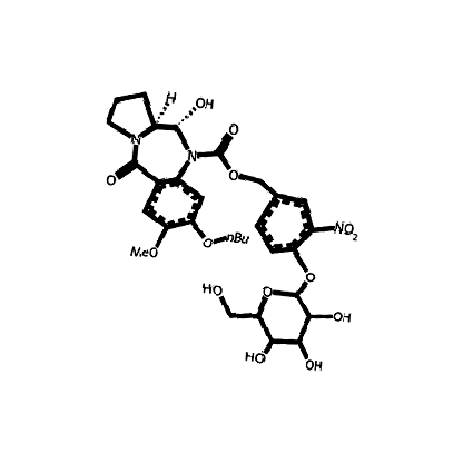 CCCCOc1cc2c(cc1OC)C(=O)N1CCC[C@H]1[C@H](O)N2C(=O)OCc1ccc(OC2OC(CO)C(O)C(O)C2O)c([N+](=O)[O-])c1